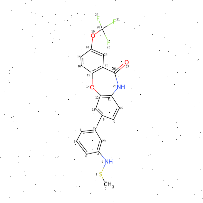 CSNc1cccc(-c2ccc3c(c2)Oc2ccc(OC(F)(F)F)cc2C(=O)N3)c1